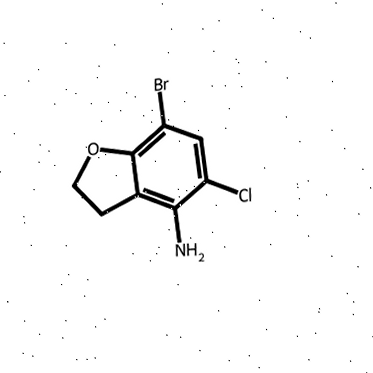 Nc1c(Cl)cc(Br)c2c1CCO2